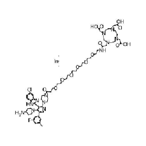 Cc1cc(F)cc(-c2cnc(N3CCN(C(=O)CCOCCOCCOCCOCCOCCOCCNC(=O)CN4CCN(CC(=O)O)CCN(CC(=O)O)CCN(CC(=O)O)CC4)CC3)c(-c3nc4cc(Cl)ccc4[nH]3)c2N2CCC(N)CC2)c1.[In]